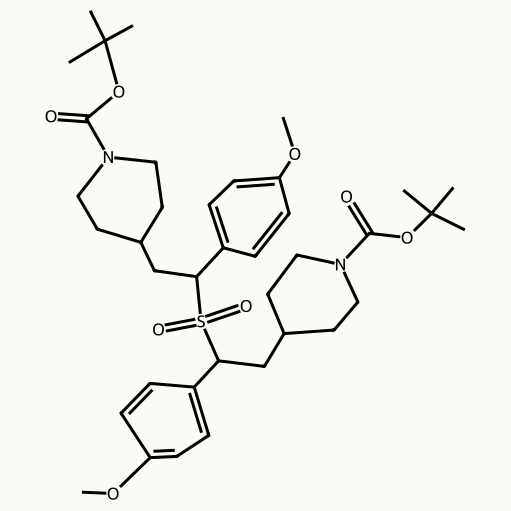 COc1ccc(C(CC2CCN(C(=O)OC(C)(C)C)CC2)S(=O)(=O)C(CC2CCN(C(=O)OC(C)(C)C)CC2)c2ccc(OC)cc2)cc1